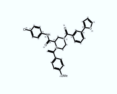 C=C(c1ccc(OC)cc1)N1CCN(C(=O)c2cccc(-c3ccco3)c2)CC1C(=O)Nc1ccc(Cl)cc1